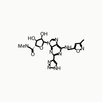 CNC(=O)[C@H]1OC(n2cnc3c(NCc4cc(C)no4)nc(-c4c[nH]nn4)nc32)[C@H](O)[C@@H]1O